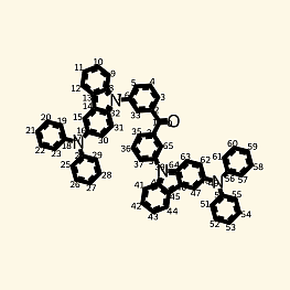 O=C(c1cccc(-n2c3ccccc3c3cc(N(c4ccccc4)c4ccccc4)ccc32)c1)c1cccc(-n2c3ccccc3c3cc(N(c4ccccc4)c4ccccc4)ccc32)c1